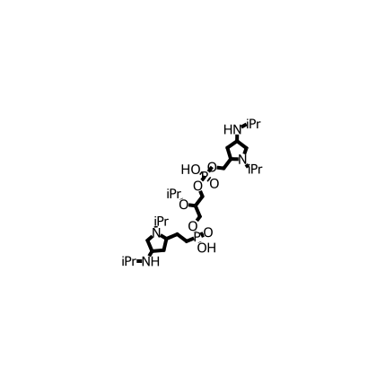 CC(C)NC1CC(CCP(=O)(O)OCC(COP(=O)(O)OCC2CC(NC(C)C)CN2C(C)C)OC(C)C)N(C(C)C)C1